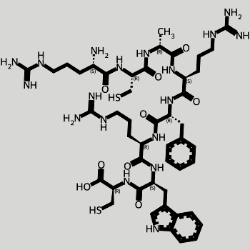 C[C@@H](NC(=O)[C@H](CS)NC(=O)[C@@H](N)CCCNC(=N)N)C(=O)N[C@@H](CCCNC(=N)N)C(=O)N[C@H](Cc1ccccc1)C(=O)N[C@H](CCCNC(=N)N)C(=O)N[C@@H](Cc1c[nH]c2ccccc12)C(=O)N[C@@H](CS)C(=O)O